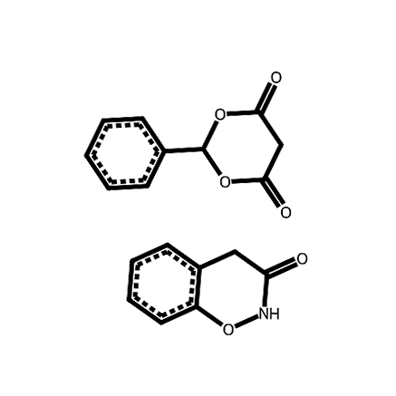 O=C1CC(=O)OC(c2ccccc2)O1.O=C1Cc2ccccc2ON1